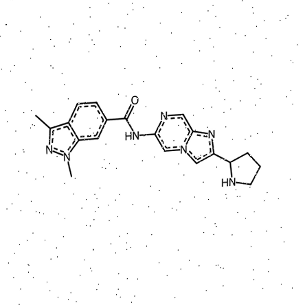 Cc1nn(C)c2cc(C(=O)Nc3cn4cc(C5CCCN5)nc4cn3)ccc12